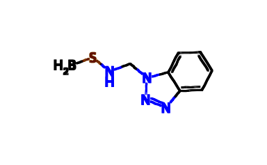 BSNCn1nnc2ccccc21